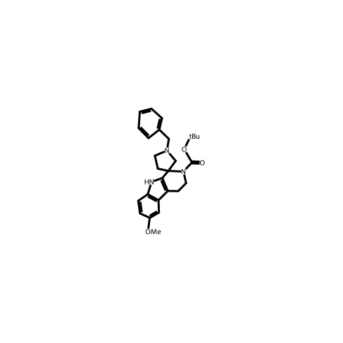 COc1ccc2[nH]c3c(c2c1)CCN(C(=O)OC(C)(C)C)C31CCN(Cc2ccccc2)C1